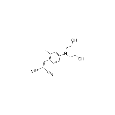 Cc1cc(N(CCO)CCO)ccc1C=C(C#N)C#N